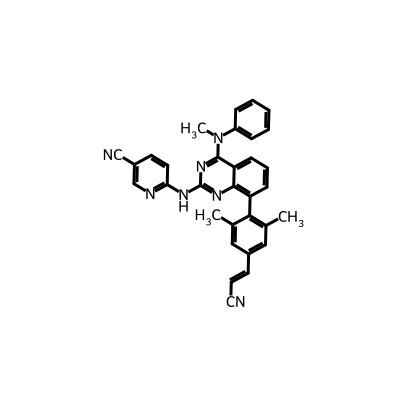 Cc1cc(C=CC#N)cc(C)c1-c1cccc2c(N(C)c3ccccc3)nc(Nc3ccc(C#N)cn3)nc12